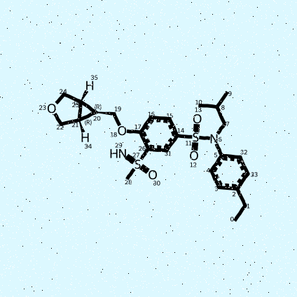 CCc1ccc(N(CC(C)C)S(=O)(=O)c2ccc(OC[C@H]3[C@@H]4COC[C@@H]43)c(S(C)(=N)=O)c2)cc1